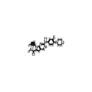 C[C@@H]1C2CC1(n1c(C(=O)N(C)C)cc3cnc(Nc4ccc(N5CCOCC5)c(F)c4)nc31)C2